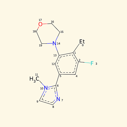 CCc1c(F)cc(-c2nccn2C)cc1N1CCOCC1